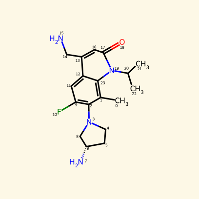 Cc1c(N2CC[C@H](N)C2)c(F)cc2c(CN)cc(=O)n(C(C)C)c12